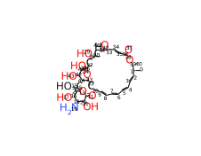 C[C@H]1/C=C/C=C/C=C/C=C/[C@H](O[C@@H]2O[C@H](C)[C@@H](O)[C@H](N)[C@@H]2O)CC2O[C@](O)(C[C@@H](O)C[C@H]3OC3/C=C/C(=O)O[C@@H]1C)C[C@H](O)[C@H]2C(=O)O